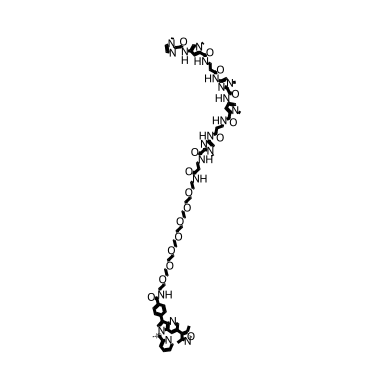 Cc1noc(C)c1-c1cnc2c(-c3ccc(C(=O)NCCOCCOCCOCCOCCOCCOCCOCCNC(=O)CCNC(=O)c4nc(NC(=O)CCNC(=O)c5cc(NC(=O)c6nc(NC(=O)CCNC(=O)c7cc(NC(=O)c8nccn8C)cn7C)cn6C)cn5C)cn4C)cc3)cn([C@@H](C)c3ccccn3)c2c1